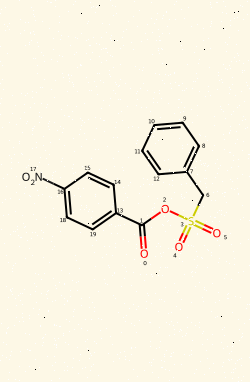 O=C(OS(=O)(=O)Cc1ccccc1)c1ccc([N+](=O)[O-])cc1